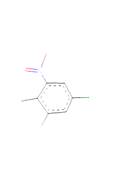 O=[N+]([O-])c1cc(Br)cc(Br)c1I